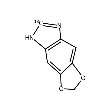 c1c2c(cc3[nH][13cH]nc13)OCO2